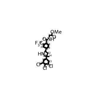 COC(=O)CNC(=O)c1ccc(C2CC(C)(c3cc(Cl)c(Cl)c(Cl)c3)CN2)cc1C(F)(F)F